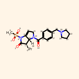 CC(C)[C@H]1C(=O)N(S(C)(=O)=O)C2=CCN(C(=O)c3ccc(CN4CCCC4)cc3)[C@@H]21